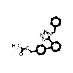 CC(=O)OCc1ccc(-c2ccccc2-c2nnnn2Cc2ccccc2)cc1